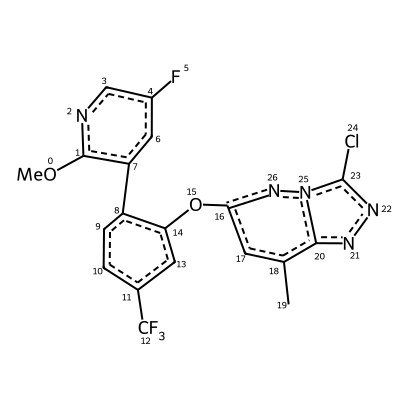 COc1ncc(F)cc1-c1ccc(C(F)(F)F)cc1Oc1cc(C)c2nnc(Cl)n2n1